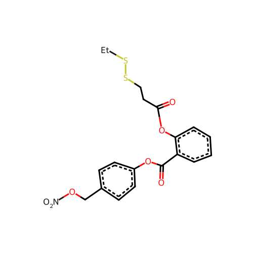 CCSSCCC(=O)Oc1ccccc1C(=O)Oc1ccc(CO[N+](=O)[O-])cc1